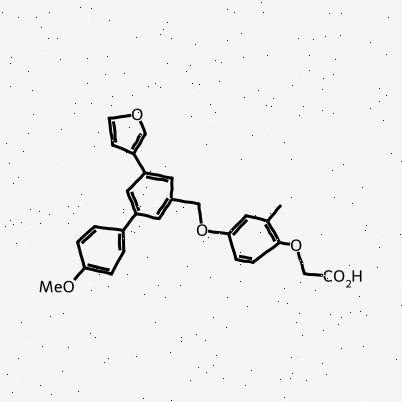 COc1ccc(-c2cc(COc3ccc(OCC(=O)O)c(C)c3)cc(-c3ccoc3)c2)cc1